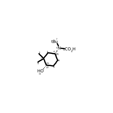 CC1(C)C[C@H](N(C(=O)O)C(C)(C)C)CC[C@@H]1O